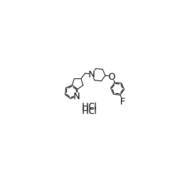 Cl.Cl.Fc1ccc(OC2CCN(CC3Cc4cccnc4C3)CC2)cc1